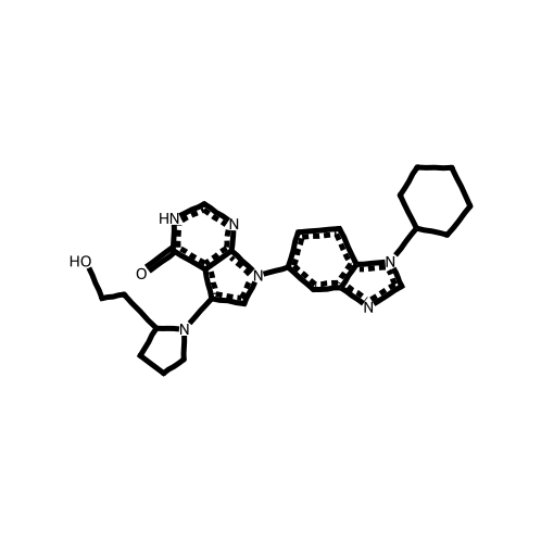 O=c1[nH]cnc2c1c(N1CCCC1CCO)cn2-c1ccc2c(c1)ncn2C1CCCCC1